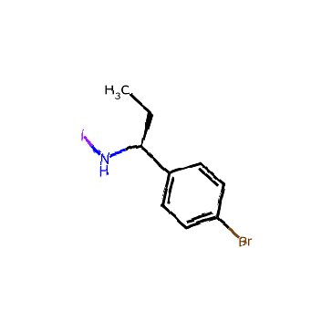 CC[C@H](NI)c1ccc(Br)cc1